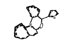 C1=CC2OC(c3cccs3)c3ccccc3N2c2ccccc21